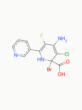 NC1=C(Cl)C(Br)(C(=O)O)NC(c2cccnc2)=C1F